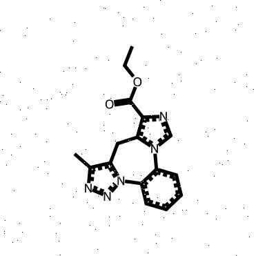 CCOC(=O)c1ncn2c1Cc1c(C)nnn1-c1ccccc1-2